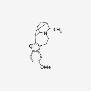 COc1ccc2oc3c(c2c1)CCN1C(C)C2CCC1C3C2